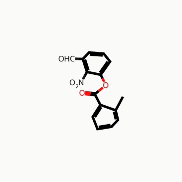 Cc1ccccc1C(=O)Oc1cccc(C=O)c1[N+](=O)[O-]